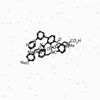 COc1ccc(CN(Cc2ccc(OC)cc2)S(=O)(=O)c2c(S(=O)(=O)CCNC(=O)O)ccc(-c3cccc(-n4ccnc4)c3)c2-c2nnn(Cc3ccc(OC)cc3)n2)cc1